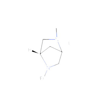 CCN1C[C@H]2C[C@H]1CN2C